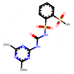 CCCS(=O)(=O)c1ccccc1S(=O)(=O)NC(=O)Nc1nc(C=O)nc(OC)n1